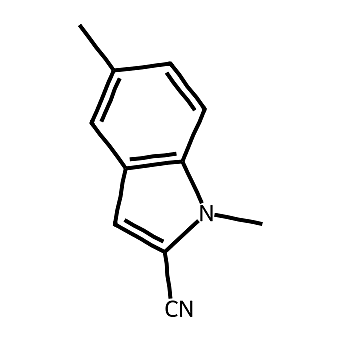 Cc1ccc2c(c1)cc(C#N)n2C